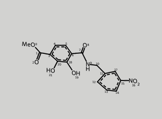 COC(=O)c1ccc(C(=O)NCc2cccc([N+](=O)[O-])c2)c(O)c1O